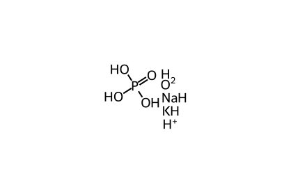 O.O=P(O)(O)O.[H+].[KH].[NaH]